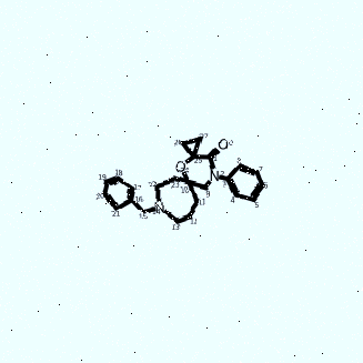 O=C1N(c2ccccc2)CC2(CCCN(Cc3ccccc3)CC2)OC12CC2